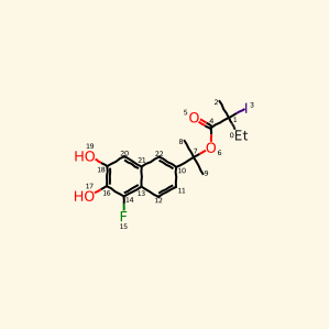 CCC(C)(I)C(=O)OC(C)(C)c1ccc2c(F)c(O)c(O)cc2c1